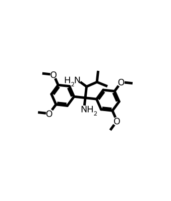 COc1cc(OC)cc(C(N)(c2cc(OC)cc(OC)c2)C(N)C(C)C)c1